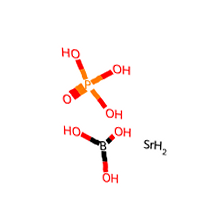 O=P(O)(O)O.OB(O)O.[SrH2]